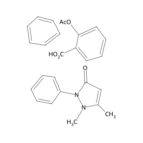 CC(=O)Oc1ccccc1C(=O)O.Cc1cc(=O)n(-c2ccccc2)n1C.c1ccccc1